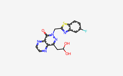 O=c1c2nccnc2c(CC(O)O)nn1Cc1nc2cc(F)ccc2s1